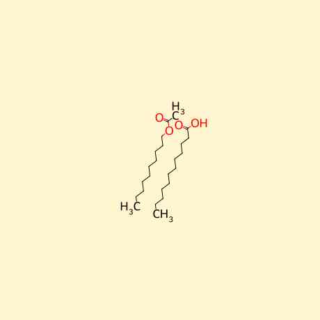 CCCCCCCCCCCC(=O)O.CCCCCCCCCCOC(C)=O